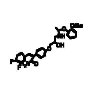 COc1ccccc1OC(C)NCC(O)COc1ccc(C(=Cc2ccc(F)c(F)c2)C(N)=O)cc1